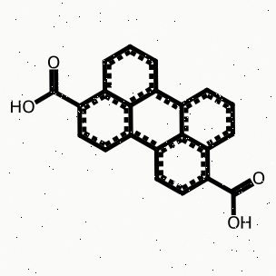 O=C(O)c1ccc2c3ccc(C(=O)O)c4cccc(c5cccc1c52)c43